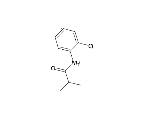 CC(C)C(=O)Nc1cc[c]cc1Cl